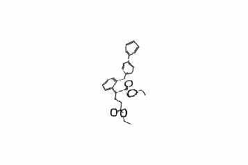 CCOC(=O)CCC(C(=O)OCC)c1ccccc1Cc1ccc(-c2ccccc2)cc1